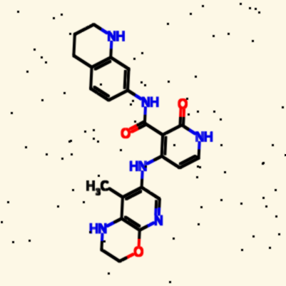 Cc1c(Nc2cc[nH]c(=O)c2C(=O)Nc2ccc3c(c2)NCCC3)cnc2c1NCCO2